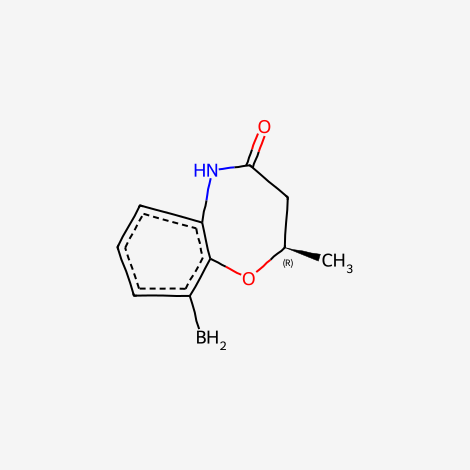 Bc1cccc2c1O[C@H](C)CC(=O)N2